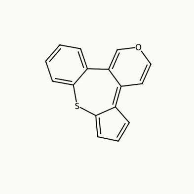 C1=CC2=C3C=COC=C3c3ccccc3SC2=C1